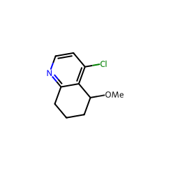 COC1CCCc2nccc(Cl)c21